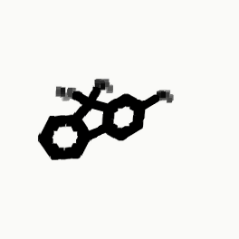 Bc1ccc2c(c1)C(C)(C)c1ccccc1-2